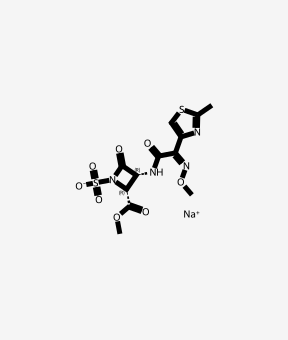 CON=C(C(=O)N[C@H]1C(=O)N(S(=O)(=O)[O-])[C@H]1C(=O)OC)c1csc(C)n1.[Na+]